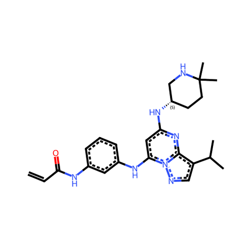 C=CC(=O)Nc1cccc(Nc2cc(N[C@H]3CCC(C)(C)NC3)nc3c(C(C)C)cnn23)c1